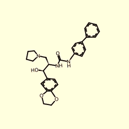 O=C(Nc1ccc(-c2ccccc2)cc1)N[C@H](CN1CCCC1)[C@H](O)c1ccc2c(c1)OCCO2